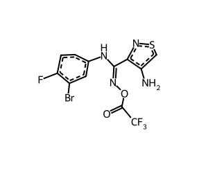 Nc1csnc1C(=NOC(=O)C(F)(F)F)Nc1ccc(F)c(Br)c1